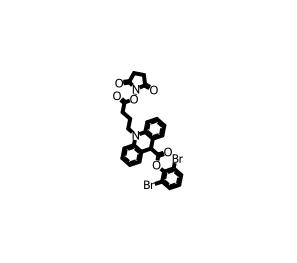 O=C(CCCN1c2ccccc2C(C(=O)Oc2c(Br)cccc2Br)c2ccccc21)ON1C(=O)CCC1=O